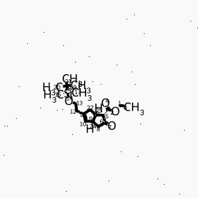 CCOC(=O)[C@@H]1C(=O)C[C@H]2C=C(CCO[Si](C)(C)C(C)(C)C)C[C@@H]12